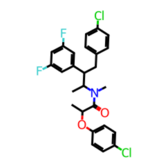 CC(Oc1ccc(Cl)cc1)C(=O)N(C)C(C)C(Cc1ccc(Cl)cc1)c1cc(F)cc(F)c1